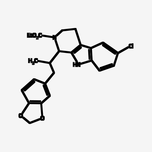 CCOC(=O)N1CCc2c([nH]c3ccc(Cl)cc23)C1C(C)Cc1ccc2c(c1)OCO2